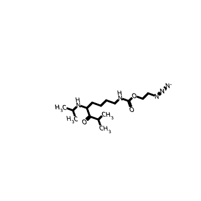 CC(C)NC(CCCCNC(=O)OCCN=[N+]=[N-])C(=O)C(C)C